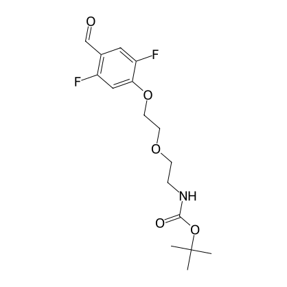 CC(C)(C)OC(=O)NCCOCCOc1cc(F)c(C=O)cc1F